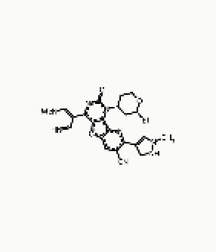 CC[C@H]1C[C@@H](n2c(=O)nc(/C(C=N)=C/NC)c3oc4cc(C#N)c(C5=CN(C)NC5)nc4c32)CCO1